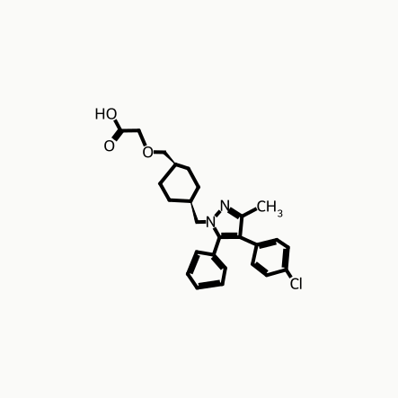 Cc1nn(C[C@H]2CC[C@@H](COCC(=O)O)CC2)c(-c2ccccc2)c1-c1ccc(Cl)cc1